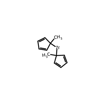 C[C]1([Zr][C]2(C)C=CC=C2)C=CC=C1